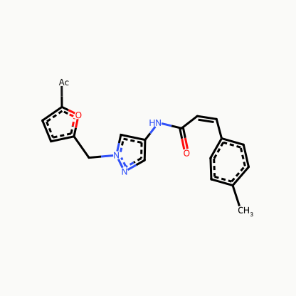 CC(=O)c1ccc(Cn2cc(NC(=O)/C=C\c3ccc(C)cc3)cn2)o1